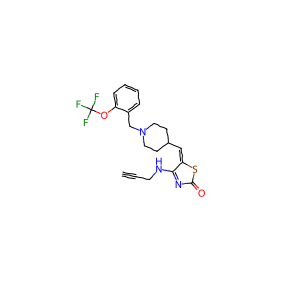 C#CCNC1=NC(=O)SC1=CC1CCN(Cc2ccccc2OC(F)(F)F)CC1